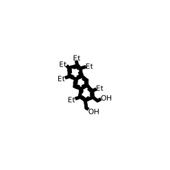 CCc1c(CC)c(CC)c2cc3c(CC)c(CO)c(CO)c(CC)c3cc2c1CC